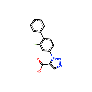 O=C(O)c1cnnn1-c1ccc(-c2ccccc2)c(F)c1